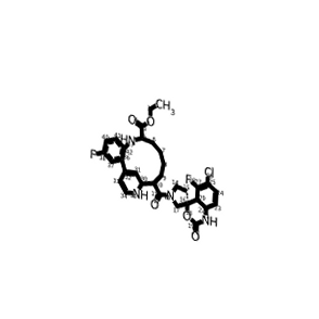 CCOC(=O)C1CCCCC(C(=O)N2CC[C@@]3(C2)OC(=O)NC2C=CC(Cl)=C(F)C23)C2C=C(C=CN2)c2cc(F)ccc2N1